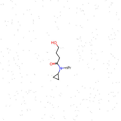 CCCN(C(=O)CCCO)C1CC1